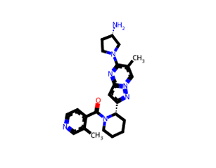 Cc1cnccc1C(=O)N1CCCC[C@H]1c1cc2nc(N3CC[C@H](N)C3)c(C)cn2n1